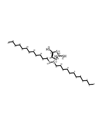 CCCCCCCCCCCCSSCCCCCCCCCCCC.SC1=CNN(S)S1